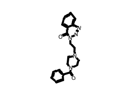 O=C(c1ccccc1)N1CCN(CCn2nnc3ccccc3c2=O)CC1